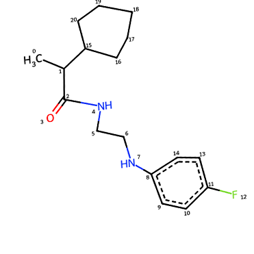 CC(C(=O)NCCNc1ccc(F)cc1)C1CCCCC1